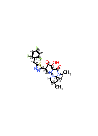 CCN1C(=O)c2c(O)c(=O)c(-c3nnc(Cc4c(F)cc(F)cc4F)s3)cn2N2CC[C@H](C)C[C@@H]12